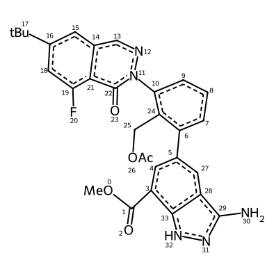 COC(=O)c1cc(-c2cccc(-n3ncc4cc(C(C)(C)C)cc(F)c4c3=O)c2COC(C)=O)cc2c(N)n[nH]c12